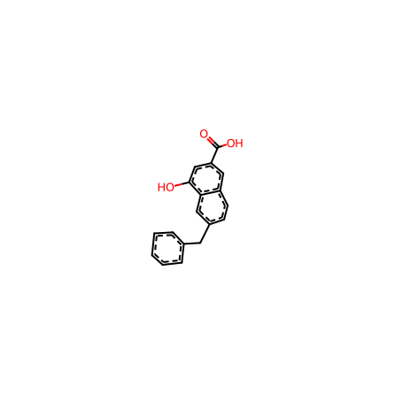 O=C(O)c1cc(O)c2cc(Cc3ccccc3)ccc2c1